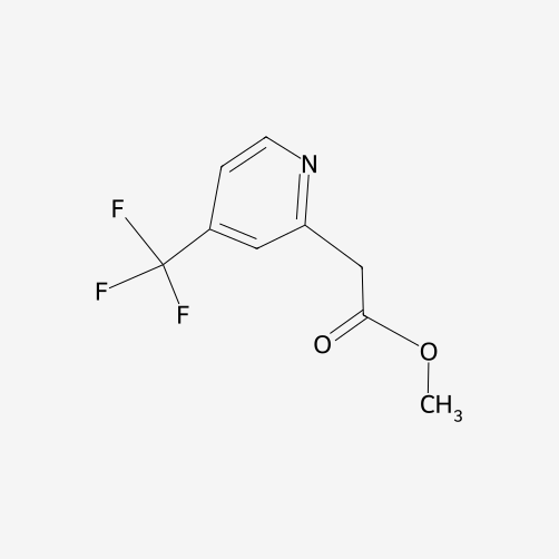 COC(=O)Cc1cc(C(F)(F)F)ccn1